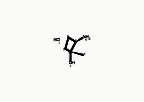 C[C@@]1(O)CC[C@H]1N.Cl